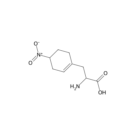 NC(CC1=CCC([N+](=O)[O-])CC1)C(=O)O